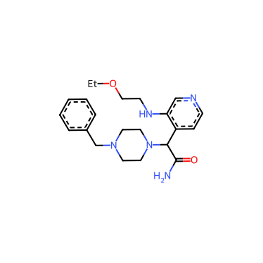 CCOCCNc1cnccc1C(C(N)=O)N1CCN(Cc2ccccc2)CC1